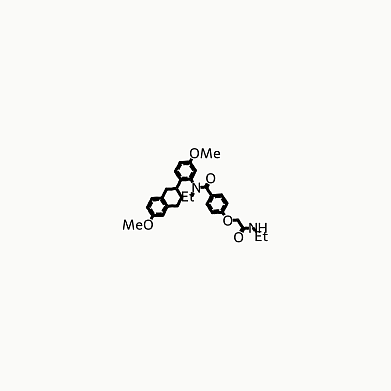 CCNC(=O)COc1ccc(C(=O)N(CC)c2cc(OC)ccc2C2CCc3cc(OC)ccc3C2)cc1